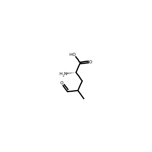 CC(C=O)C[C@H](N)C(=O)O